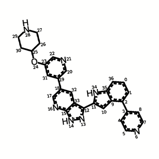 c1cc(-c2ccncc2)c2cc(-c3n[nH]c4ncc(-c5cncc(OC6CCNCC6)c5)cc34)[nH]c2c1